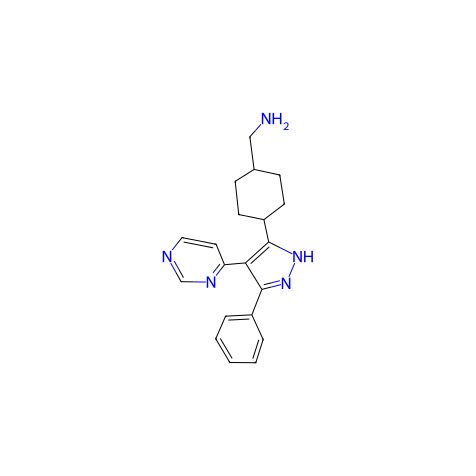 NCC1CCC(c2[nH]nc(-c3ccccc3)c2-c2ccncn2)CC1